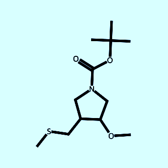 COC1CN(C(=O)OC(C)(C)C)CC1CSC